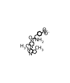 CC1CCc2ncnc(N3CCN(C(=O)[C@H](N)Cc4ccc([N+](=O)[O-])cc4)C[C@@H]3C)c21